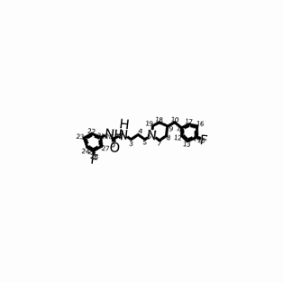 O=C(NCCCN1CCC(Cc2ccc(F)cc2)CC1)Nc1cccc(F)c1